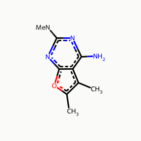 CNc1nc(N)c2c(C)c(C)oc2n1